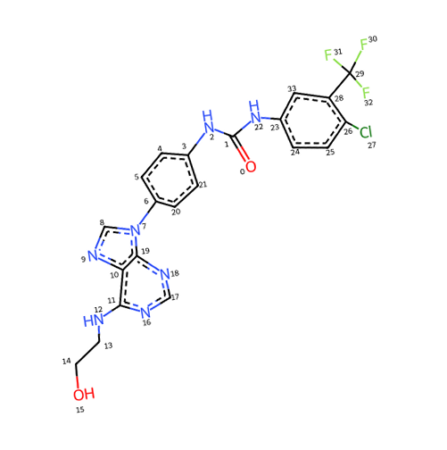 O=C(Nc1ccc(-n2cnc3c(NCCO)ncnc32)cc1)Nc1ccc(Cl)c(C(F)(F)F)c1